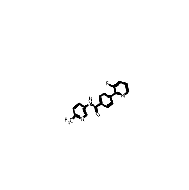 O=C(Nc1ccc(C(F)(F)F)nc1)c1ccc(-c2ncccc2F)cc1